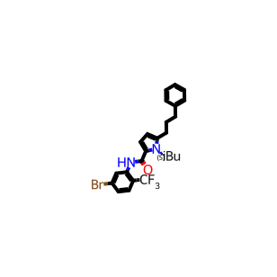 CC[C@H](C)n1c(CCCc2ccccc2)ccc1C(=O)Nc1cc(Br)ccc1C(F)(F)F